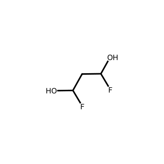 OC(F)CC(O)F